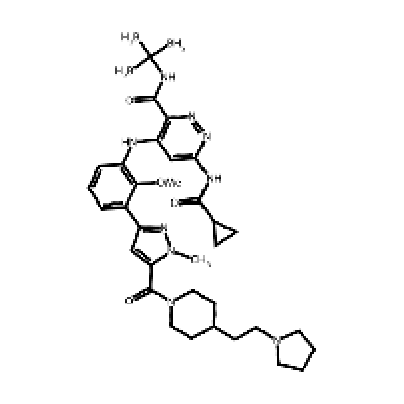 BC(B)(B)NC(=O)c1nnc(NC(=O)C2CC2)cc1Nc1cccc(-c2cc(C(=O)N3CCC(CCN4CCCC4)CC3)n(C)n2)c1OC